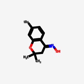 CC1(C)CC(=NO)c2ccc(C(C)(C)C)cc2O1